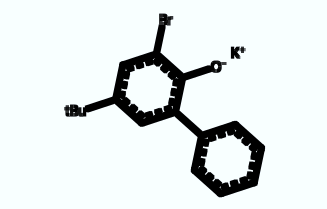 CC(C)(C)c1cc(Br)c([O-])c(-c2ccccc2)c1.[K+]